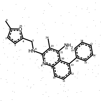 Cc1ccc(CNc2nc3cccc(-c4ccccc4)c3c(N)c2C)o1